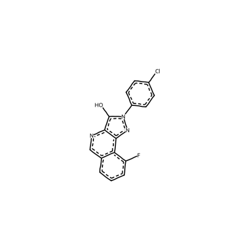 Oc1c2ncc3cccc(F)c3c2nn1-c1ccc(Cl)cc1